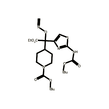 C=NOC(C(=O)OCC)(c1csc(NC(=O)OC(C)(C)C)n1)C1CCN(C(=O)OC(C)(C)C)CC1